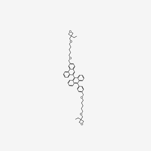 CCC1(COCCCCCOCc2ccc(-c3c4ccccc4c(-c4cc5ccc(COCCCCCOCC6(CC)COC6)cc5c5ccccc45)c4ccccc34)cc2)COC1